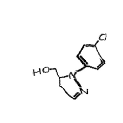 OCC1CC=NN1c1ccc(Cl)cc1